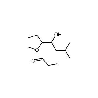 CC(C)CC(O)C1CCCO1.CCC=O